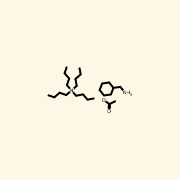 CC(=O)[O-].CCCC[N+](CCCC)(CCCC)CCCC.NCC1CCCCC1